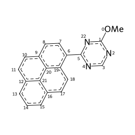 COc1ncnc(-c2ccc3ccc4cccc5ccc2c3c45)n1